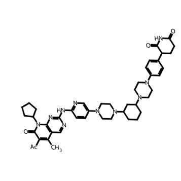 CC(=O)c1c(C)c2cnc(Nc3ccc(N4CCN(C5CCCC(N6CCN(c7ccc(C8CCC(=O)NC8=O)cc7)CC6)C5)CC4)cn3)nc2n(C2CCCC2)c1=O